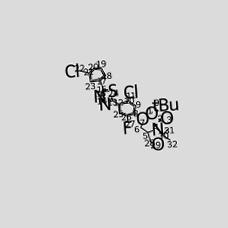 CC(C)(C)OC(=O)N1C(COc2cc(Cl)c(-c3nnc(-c4cccc(Cl)c4)s3)cc2F)COC1(C)C